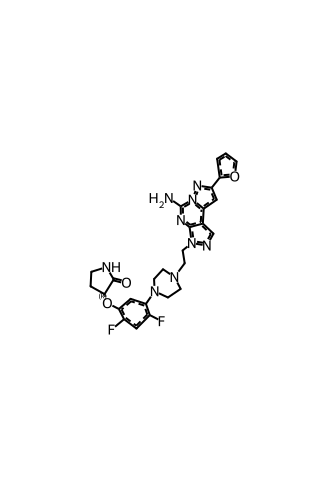 Nc1nc2c(cnn2CCN2CCN(c3cc(O[C@@H]4CCNC4=O)c(F)cc3F)CC2)c2cc(-c3ccco3)nn12